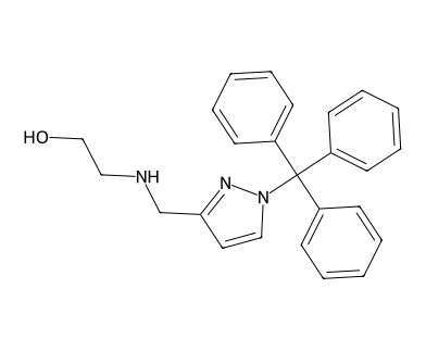 OCCNCc1ccn(C(c2ccccc2)(c2ccccc2)c2ccccc2)n1